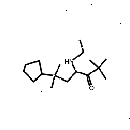 CCNC(CC(C)(C)C1CCCC1)C(=O)C(C)(C)C